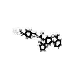 CC(=O)c1ccccc1-c1ccc2c(c1)C1(CCCC1)CN2C(=O)NCc1ccc(SN)cc1